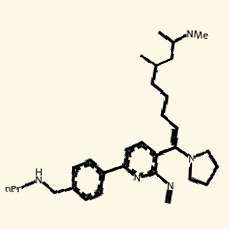 C=Nc1nc(-c2ccc(CNCCC)cc2)ccc1/C(=C\CCCC(C)CC(C)NC)N1CCCC1